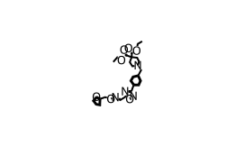 CCOC(=O)C1(C(=O)OCC)CCN(Cc2ccc(-c3noc(C=NOCc4ccco4)n3)cc2)CC1